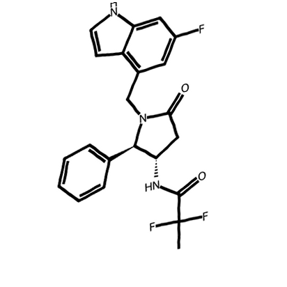 CC(F)(F)C(=O)N[C@H]1CC(=O)N(Cc2cc(F)cc3[nH]ccc23)[C@@H]1c1ccccc1